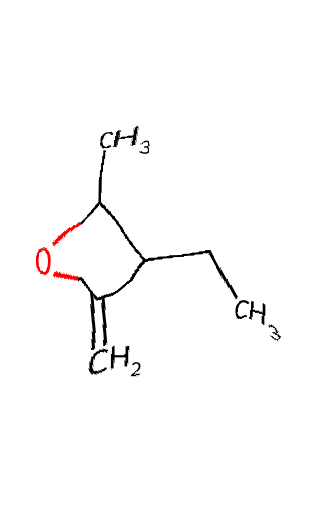 C=C1OC(C)C1CC